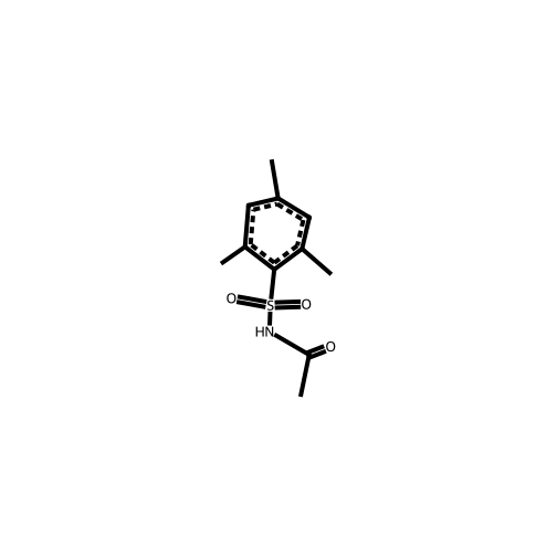 CC(=O)NS(=O)(=O)c1c(C)cc(C)cc1C